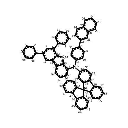 c1ccc(-c2cc(-c3ccccc3)c3sc4c(N(c5ccc(-c6ccc7ccccc7c6)cc5)c5ccc6c(c5)C5(c7ccccc7-c7ccccc75)c5ccccc5-6)cccc4c3c2)cc1